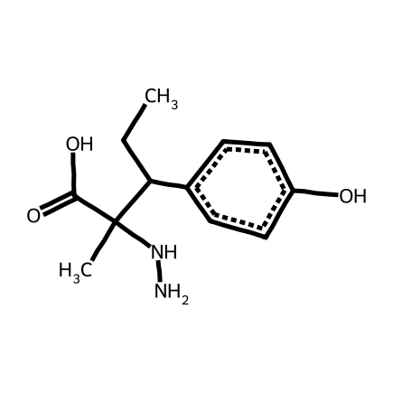 CCC(c1ccc(O)cc1)C(C)(NN)C(=O)O